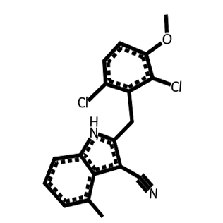 COc1ccc(Cl)c(Cc2[nH]c3cccc(C)c3c2C#N)c1Cl